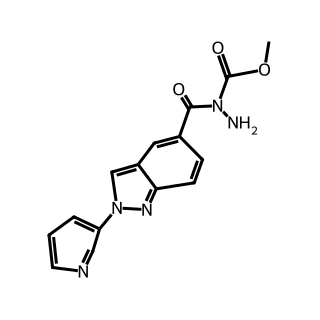 COC(=O)N(N)C(=O)c1ccc2nn(-c3cccnc3)cc2c1